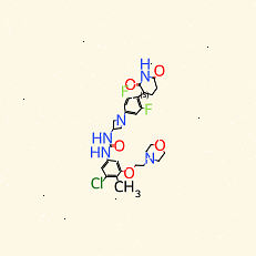 Cc1c(Cl)cc(NC(=O)NC2CN(c3cc(F)c([C@@H]4CCC(=O)NC4=O)c(F)c3)C2)cc1OCCN1CCOCC1